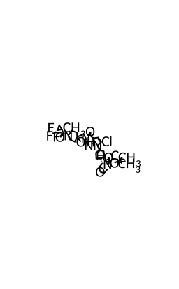 CC(C)(C)OC(=O)N1CCOC[C@@H]1c1ccc(-n2c(Cl)cc3c(=O)n(CC4(O)CCN(C(=O)[C@]5(C)C[C@H]5C(F)(F)F)CC4)cnc32)cc1